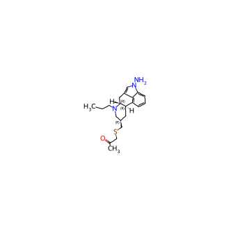 CCCN1C[C@H](CSCC(C)=O)C[C@@H]2c3cccc4c3c(cn4N)C[C@H]21